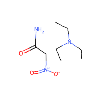 CCN(CC)CC.NC(=O)C[N+](=O)[O-]